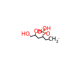 [CH2]CC(CC(O)CO)S(=O)(=O)O